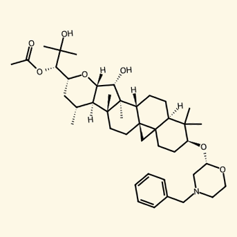 CC(=O)O[C@@H]([C@H]1C[C@@H](C)[C@H]2[C@H](O1)[C@H](O)[C@@]1(C)[C@@H]3CC[C@H]4C(C)(C)[C@@H](O[C@H]5CN(Cc6ccccc6)CCO5)CCC45C[C@@]35CC[C@]21C)C(C)(C)O